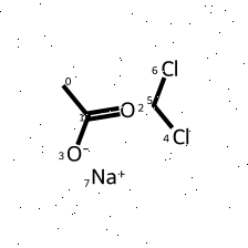 CC(=O)[O-].ClCCl.[Na+]